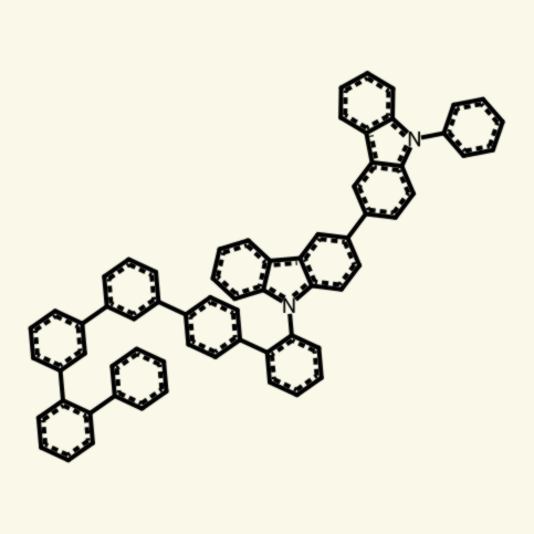 c1ccc(-c2ccccc2-c2cccc(-c3cccc(-c4ccc(-c5ccccc5-n5c6ccccc6c6cc(-c7ccc8c(c7)c7ccccc7n8-c7ccccc7)ccc65)cc4)c3)c2)cc1